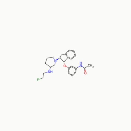 CC(=O)Nc1cccc(O[C@H]2c3ccccc3C[C@@H]2N2CCCC(NCCF)C2)c1